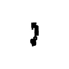 CCOC(=O)C=C1CCC(CCN2CCN(c3cccc(C(F)(F)F)c3)CC2)CC1